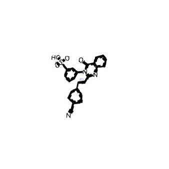 N#Cc1ccc(/C=C/c2nc3ccccc3c(=O)n2-c2cccc(S(=O)(=O)O)c2)cc1